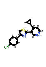 Clc1ccc(-c2csc(-c3cnccc3C3CC3)n2)cc1